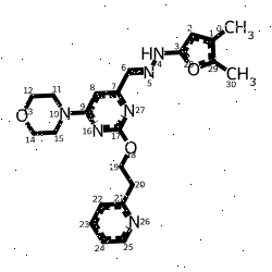 Cc1cc(NN=Cc2cc(N3CCOCC3)nc(OCCc3ccccn3)n2)oc1C